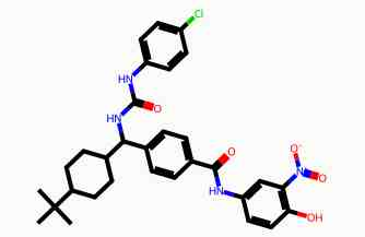 CC(C)(C)C1CCC(C(NC(=O)Nc2ccc(Cl)cc2)c2ccc(C(=O)Nc3ccc(O)c([N+](=O)[O-])c3)cc2)CC1